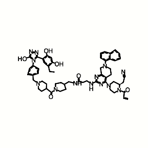 C=CC(=O)N1CCN(c2nc(NCCC(=O)NCC3CCN(C(=O)C4CCN(Cc5ccc(-n6c(O)nnc6-c6cc(CC)c(O)cc6O)cc5)CC4)CC3)nc3c2CCN(c2cccc4ccccc24)C3)C[C@H]1CC#N